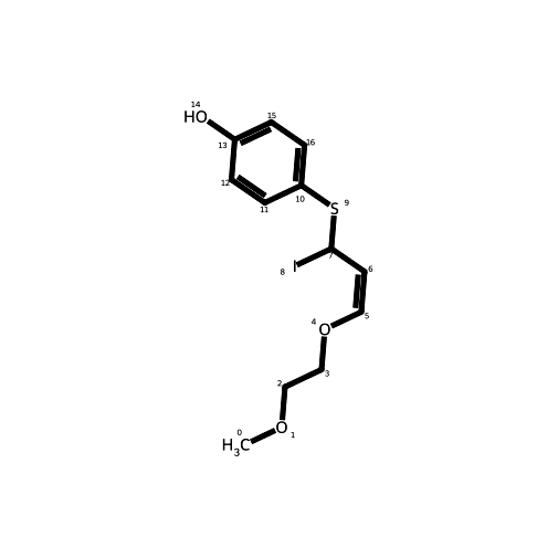 COCCO/C=C\C(I)Sc1ccc(O)cc1